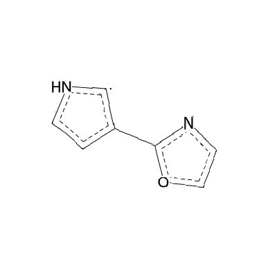 [c]1[nH]ccc1-c1ncco1